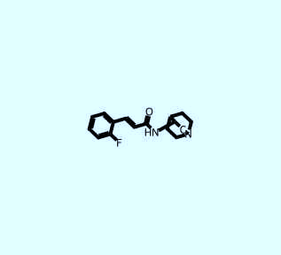 O=C(C=Cc1ccccc1F)NC1CN2CCC1CC2